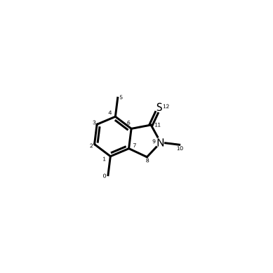 Cc1ccc(C)c2c1CN(C)C2=S